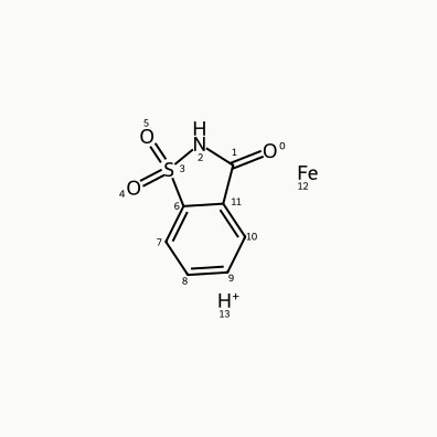 O=C1NS(=O)(=O)c2ccccc21.[Fe].[H+]